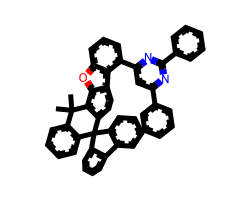 CC1(C)c2ccccc2C2(c3ccccc3-c3ccccc32)c2ccc3c(oc4cccc(-c5cc(-c6ccccc6)nc(-c6ccccc6)n5)c43)c21